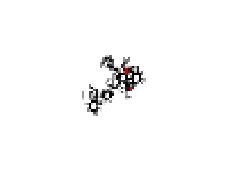 CCNCC1(CN2CCN(C(=O)CC3=C(C(=O)OC)C(c4c(Cl)cccc4Cl)C(C(=O)OC)=C(CCc4nccs4)N3)CC2)CCCCC1